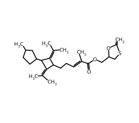 C=C1OC(COC(=O)/C(C)=C/CCC2C(=C(C)C)C(C3CCC(C)C3)C2=C(C)C)CS1